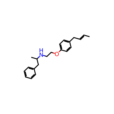 CC=CCc1ccc(OCCNC(C)Cc2ccccc2)cc1